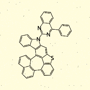 c1ccc(-c2nc(-n3c4ccccc4c4c5c6c(cc43)sc3cccc(c36)-c3cccc4cccc-5c34)nc3ccccc23)cc1